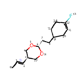 C/C=C/[C@H]1CO[C@H](CCC2CC=C(F)CC2)OC1